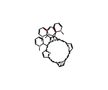 CN1C=CC=CC1c1c(C2C=CC=CN2C)c2c(C3C=CC=CN3C)c3nc(cc4ccc(cc5nc(cc1n2C1C=CC=CN1C)C=C5)[nH]4)C=C3